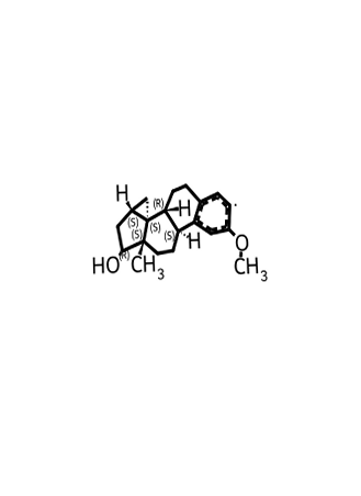 COc1[c]cc2c(c1)[C@H]1CC[C@]3(C)[C@H](O)C[C@@H]4C[C@@]43[C@@H]1CC2